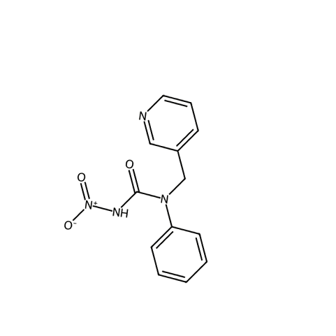 O=C(N[N+](=O)[O-])N(Cc1cccnc1)c1ccccc1